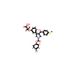 CSc1ccc(C(=O)C2CN(C(=O)Oc3ccc(Cl)cc3)CC2c2cccc(OC(C)(C)C(=O)O)c2)cc1